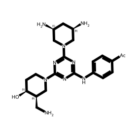 CC(=O)c1ccc(Nc2nc(N3C[C@H](N)C[C@H](N)C3)nc(N3CC[C@H](O)[C@H](CN)C3)n2)cc1